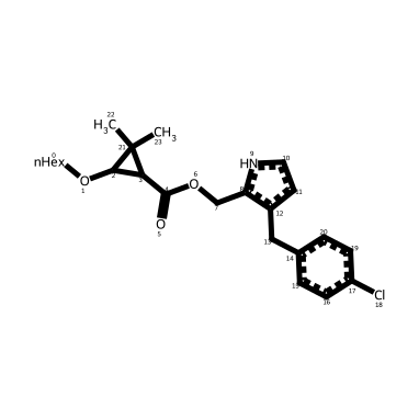 CCCCCCOC1C(C(=O)OCc2[nH]ccc2Cc2ccc(Cl)cc2)C1(C)C